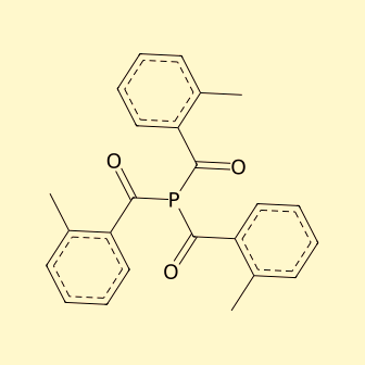 Cc1ccccc1C(=O)P(C(=O)c1ccccc1C)C(=O)c1ccccc1C